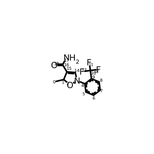 CC1ON(c2ccccc2C(F)(F)F)C=C1C(N)=O